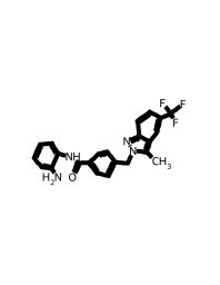 Cc1c2cc(C(F)(F)F)ccc2nn1Cc1ccc(C(=O)Nc2ccccc2N)cc1